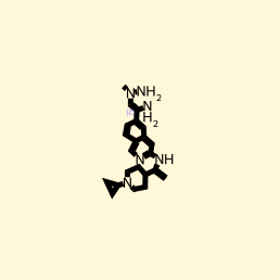 C=C(Nc1cc2cc(/C(N)=C/N(C)N)ccc2cn1)C1CCN(C2CC2)CC1